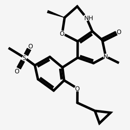 C[C@H]1CNc2c(c(-c3cc(S(C)(=O)=O)ccc3OCC3CC3)cn(C)c2=O)O1